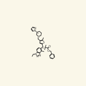 CCn1nnc2c(C)c([C@H](c3cc(CN4CCC[C@H](n5cccn5)C4)c(C)s3)C(C)(C)C(=O)OCc3ccccc3)ccc21